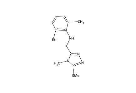 CCc1cccc(C)c1NCc1nnc(SC)n1C